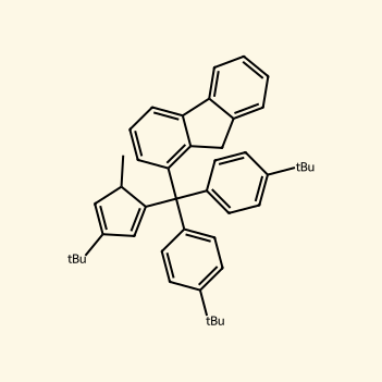 CC1C=C(C(C)(C)C)C=C1C(c1ccc(C(C)(C)C)cc1)(c1ccc(C(C)(C)C)cc1)c1cccc2c1Cc1ccccc1-2